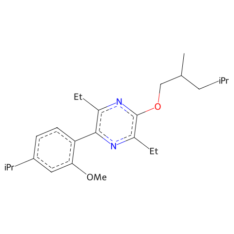 CCc1nc(-c2ccc(C(C)C)cc2OC)c(CC)nc1OCC(C)CC(C)C